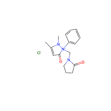 CC1=CC(=O)[N+](CN2CCCC2=O)(c2ccccc2)N1C.[Cl-]